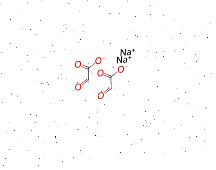 O=CC(=O)[O-].O=CC(=O)[O-].[Na+].[Na+]